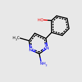 Cc1cc(-c2ccccc2O)nc(N)n1